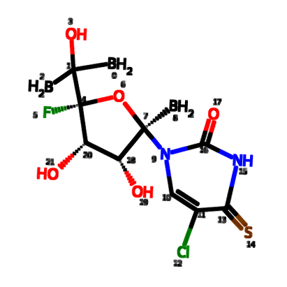 BC(B)(O)[C@@]1(F)O[C@@](B)(n2cc(Cl)c(=S)[nH]c2=O)[C@H](O)[C@@H]1O